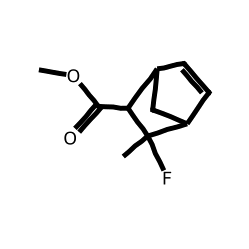 COC(=O)C1C2C=CC(C2)C1(C)F